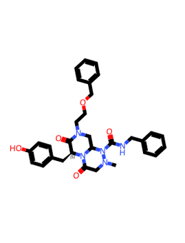 CN1CC(=O)N2C(CN(CCOCc3ccccc3)C(=O)[C@@H]2Cc2ccc(O)cc2)N1C(=O)NCc1ccccc1